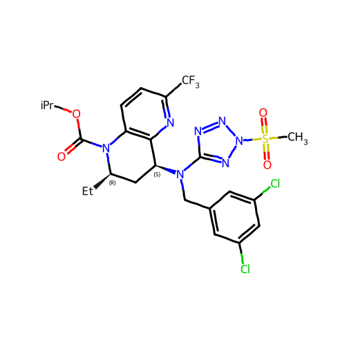 CC[C@@H]1C[C@H](N(Cc2cc(Cl)cc(Cl)c2)c2nnn(S(C)(=O)=O)n2)c2nc(C(F)(F)F)ccc2N1C(=O)OC(C)C